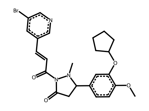 COc1ccc(C2CC(=O)N(C(=O)C=Cc3cncc(Br)c3)N2C)cc1OC1CCCC1